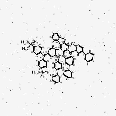 Cc1ccc(-c2ccccc2)cc1N1c2ccc(-c3ccccc3)cc2Bc2c1cc1sc3ccccc3c1c2-c1ccc(N(c2ccc(C(C)(C)C)cc2)c2ccc(C(C)(C)C)cc2)cc1Nc1ccc(-c2ccccc2)cc1